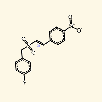 O=[N+]([O-])c1ccc(/C=C/S(=O)(=O)Cc2ccc(F)cc2)cc1